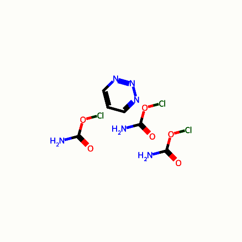 NC(=O)OCl.NC(=O)OCl.NC(=O)OCl.c1cnnnc1